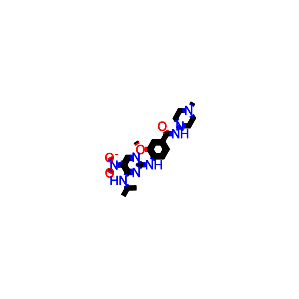 COc1cc(C(=O)NN2CCN(C)CC2)ccc1Nc1ncc([N+](=O)[O-])c(NC(C)C)n1